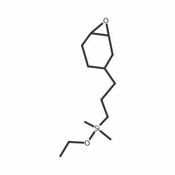 CCO[Si](C)(C)CCCC1CCC2OC2C1